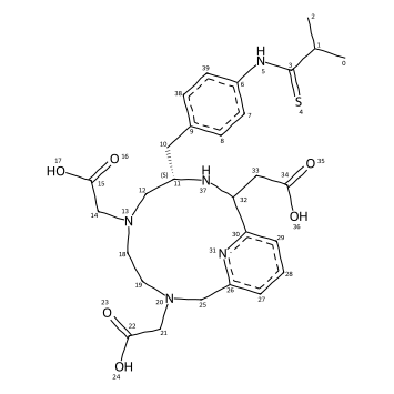 CC(C)C(=S)Nc1ccc(C[C@H]2CN(CC(=O)O)CCN(CC(=O)O)Cc3cccc(n3)C(CC(=O)O)N2)cc1